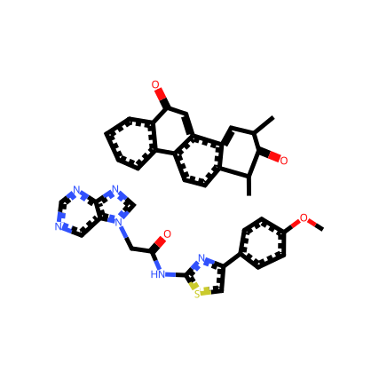 CC1C=c2c(ccc3c2=CC(=O)c2ccccc2-3)C(C)C1=O.COc1ccc(-c2csc(NC(=O)Cn3cnc4ncncc43)n2)cc1